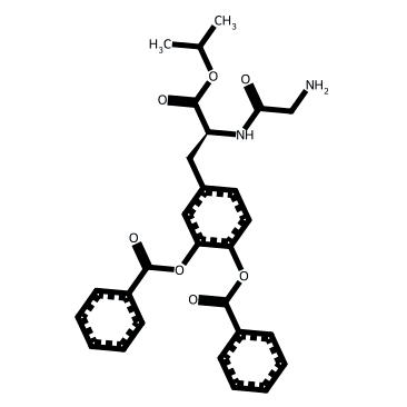 CC(C)OC(=O)[C@H](Cc1ccc(OC(=O)c2ccccc2)c(OC(=O)c2ccccc2)c1)NC(=O)CN